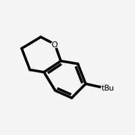 CC(C)(C)c1ccc2c(c1)OCCC2